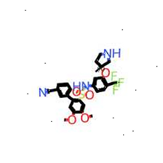 COc1cc(-c2cccc(C#N)c2)c(S(=O)(=O)Nc2ccc(C(F)(F)F)c(O[C@]3(C)CCNC3)c2)cc1OC